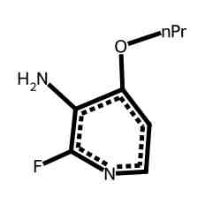 CCCOc1ccnc(F)c1N